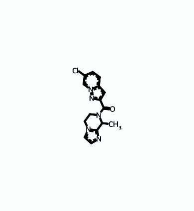 CC1c2nccn2CCN1C(=O)c1cc2ccc(Cl)cn2n1